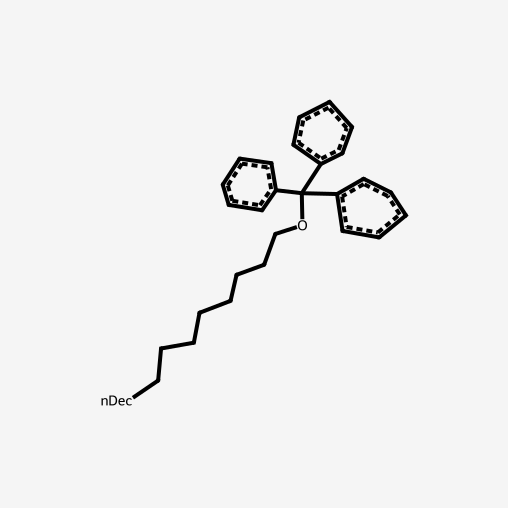 CCCCCCCCCCCCCCCCCCOC(c1ccccc1)(c1ccccc1)c1ccccc1